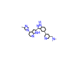 Cc1cn(-c2ccnc3[nH]c(-c4n[nH]c5ccc(-c6cncc(CN(C)C)c6)cc45)cc23)cn1